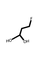 OC(O)CCF